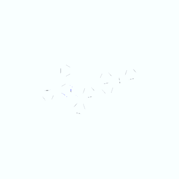 c1ccc(-c2nc(-n3c4ccccc4c4cc(-c5ccc6c7c(cccc57)-c5c-6oc6ccccc56)ccc43)nc3c2sc2ccccc23)cc1